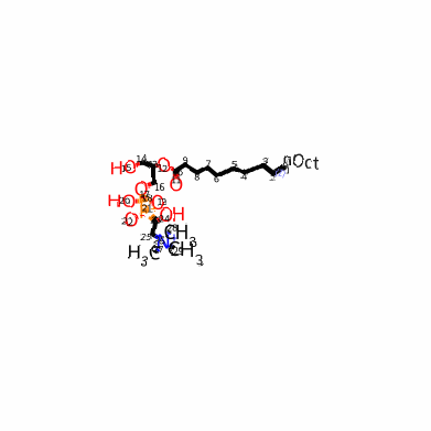 CCCCCCCC/C=C\CCCCCCCC(=O)OC(CO)COP(=O)(O)[P+]([O-])=C(O)C[N+](C)(C)C